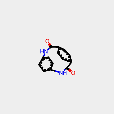 O=C1Nc2ccc(cc2)NC(=O)c2ccc1cc2